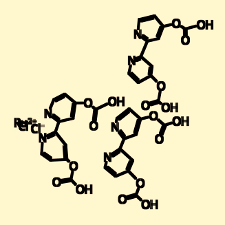 O=C(O)Oc1ccnc(-c2cc(OC(=O)O)ccn2)c1.O=C(O)Oc1ccnc(-c2cc(OC(=O)O)ccn2)c1.O=C(O)Oc1ccnc(-c2cc(OC(=O)O)ccn2)c1.[Cl-].[Cl-].[Ru+2]